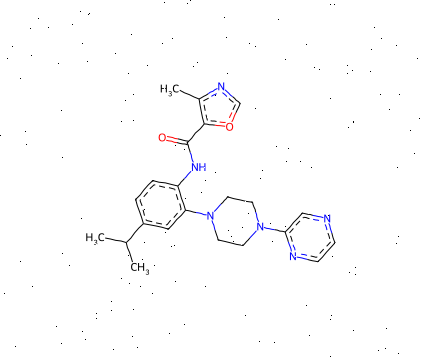 Cc1ncoc1C(=O)Nc1ccc(C(C)C)cc1N1CCN(c2cnccn2)CC1